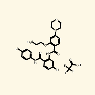 NCCOc1cc(N2CCOCC2)ccc1C(=O)Nc1cc(Cl)ccc1C(=O)Nc1ccc(Cl)cn1.O=C(O)C(F)(F)F